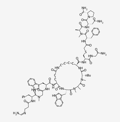 CCCC[C@H]1C(=O)N[C@H](C(=O)N[C@@H](CSCC(=O)N[C@@H](Cc2ccccc2)C(=O)N(C)[C@@H](C)C(=O)N[C@@H](CC(N)=O)C(=O)N2CCC[C@H]2C(N)=O)C(=O)NCC(N)=O)CCCCNC(=O)CC[C@H](NC(=O)[C@H](Cc2c[nH]c3ccccc23)NC(=O)CN(C)C(=O)[C@H](CC(C)C)NC(=O)CC/N=C\N)C(=O)N[C@@H](Cc2c[nH]c3ccccc23)C(=O)N(C)C(C)C(=O)N1C